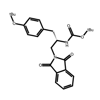 CC(C)(C)OC(=O)N[C@@H](Cc1ccc(OC(C)(C)C)cc1)CN1C(=O)c2ccccc2C1=O